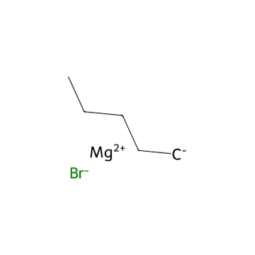 [Br-].[CH2-]CCCC.[Mg+2]